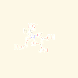 C[N+](OCO)(OCO)OCO.[OH-]